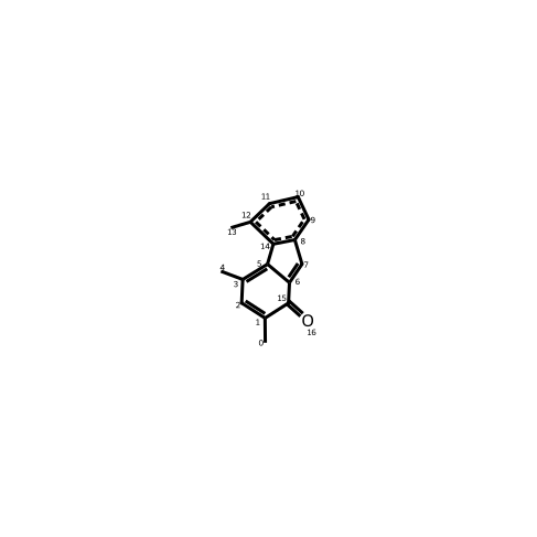 CC1=CC(C)=C2C(=Cc3cccc(C)c32)C1=O